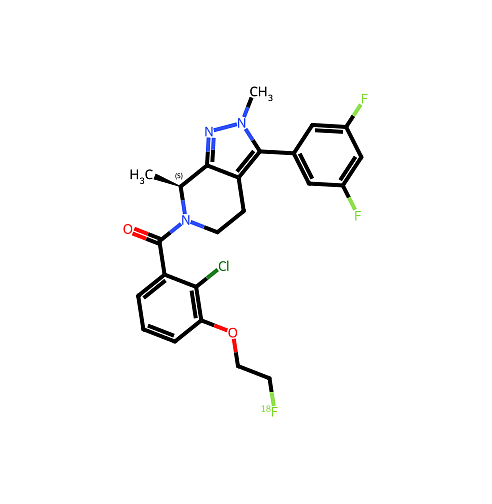 C[C@H]1c2nn(C)c(-c3cc(F)cc(F)c3)c2CCN1C(=O)c1cccc(OCC[18F])c1Cl